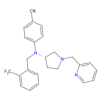 N#Cc1ccc(N(Cc2ccccc2C(F)(F)F)[C@H]2CCN(Cc3ccccn3)C2)cc1